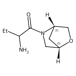 CCC(N)C(=O)N1C[C@@H]2C[C@H]1CO2